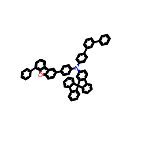 c1ccc(-c2cccc(-c3ccc(N(c4ccc(-c5ccc6oc7c(-c8ccccc8)cccc7c6c5)cc4)c4ccc5c(c4)C4(c6ccccc6-c6ccccc64)c4ccccc4-5)cc3)c2)cc1